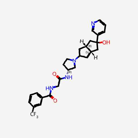 O=C(CNC(=O)c1cccc(C(F)(F)F)c1)N[C@@H]1CCN(C2C[C@@H]3CC(O)(c4cccnc4)C[C@@H]3C2)C1